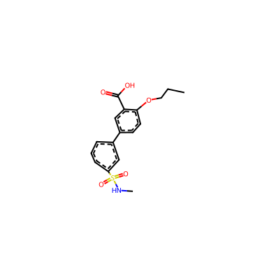 CCCOc1ccc(-c2cccc(S(=O)(=O)NC)c2)cc1C(=O)O